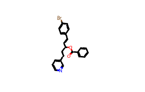 O=C(OC(C=Cc1ccc(Br)cc1)CCc1cccnc1)c1ccccc1